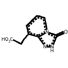 O=C(O)Cc1cccn2c(=O)[nH]nc12